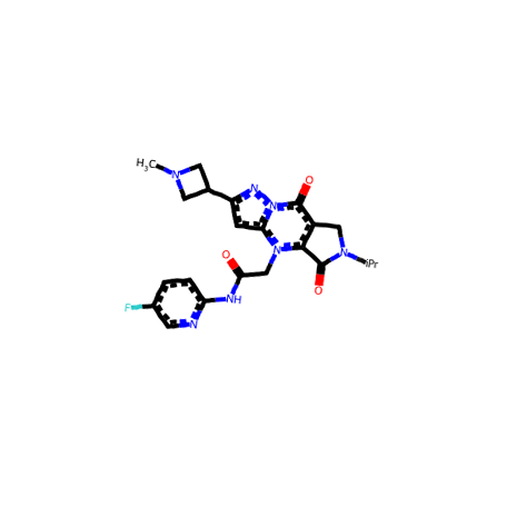 CC(C)N1Cc2c(n(CC(=O)Nc3ccc(F)cn3)c3cc(C4CN(C)C4)nn3c2=O)C1=O